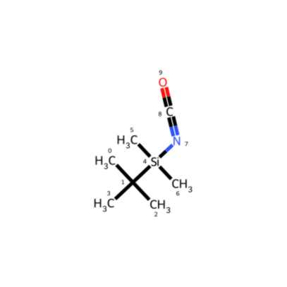 CC(C)(C)[Si](C)(C)N=C=O